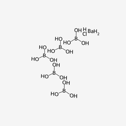 Cl.OB(O)O.OB(O)O.OB(O)O.OB(O)O.OB(O)O.[BaH2]